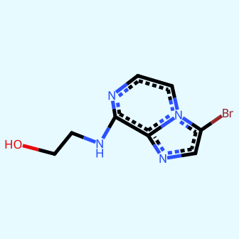 OCCNc1nccn2c(Br)cnc12